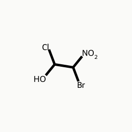 O=[N+]([O-])C(Br)C(O)Cl